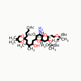 C=C([C@H](C)CC1(CCCOC(C)=O)OCC(C)(C)CO1)[C@H](O)CC1O[C@H]2CC(O[Si](C)(C)C(C)(C)C)[C@@H](CCO[Si](C)(C)C(C)(C)C)O[C@H]2[C@H](N)[C@H]1OC(C)=O